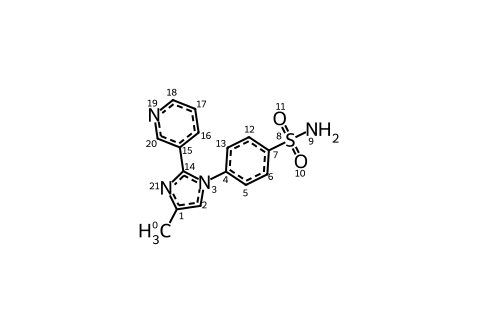 Cc1cn(-c2ccc(S(N)(=O)=O)cc2)c(-c2cccnc2)n1